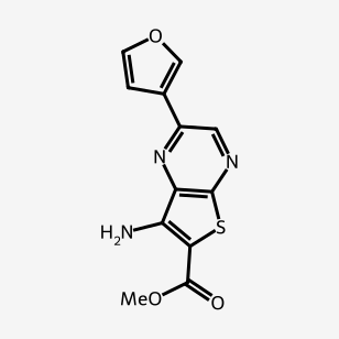 COC(=O)c1sc2ncc(-c3ccoc3)nc2c1N